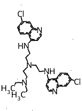 CCN(CC)CCN(CCNc1ccnc2cc(Cl)ccc12)CCNc1ccnc2cc(Cl)ccc12